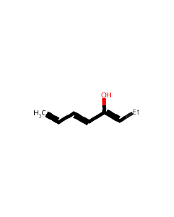 C=CC=CC(O)=CCC